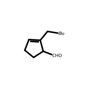 CCC(C)CC1=CCCC1C=O